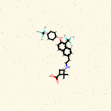 CC1(C)C(C(=O)O)C[C@H]1NCCc1ccc2c(C(F)(F)F)c(O[C@H]3CC[C@@H](C(F)(F)F)CC3)ccc2c1